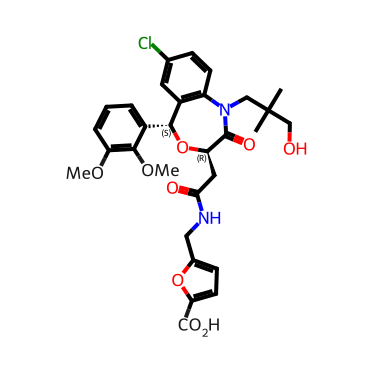 COc1cccc([C@H]2O[C@H](CC(=O)NCc3ccc(C(=O)O)o3)C(=O)N(CC(C)(C)CO)c3ccc(Cl)cc32)c1OC